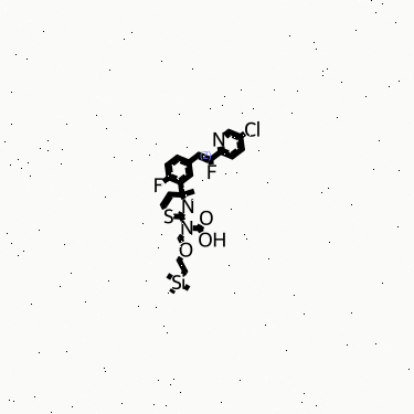 CC1(c2cc(/C=C(\F)c3ccc(Cl)cn3)ccc2F)C=CSC(N(COCC[Si](C)(C)C)C(=O)O)=N1